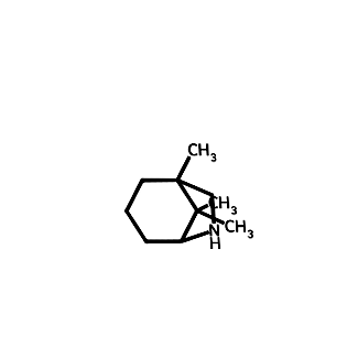 CC12CCCC(NC1)C2(C)C